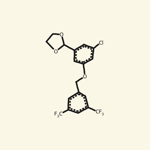 FC(F)(F)c1cc(COc2cc(Cl)cc(C3OCCO3)c2)cc(C(F)(F)F)c1